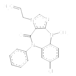 C=CCn1cnc2c1C(=O)N(c1ccccc1)c1cc(Cl)ccc1N2C